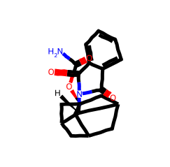 NC(=O)O[C@]12CC3CC(C1)[C@@H](N1C(=O)c4ccccc4C1=O)C(C3)C2